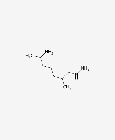 CC(N)CCCC(C)CNN